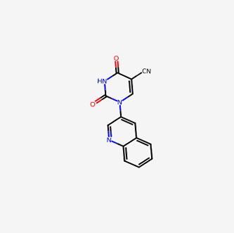 N#Cc1cn(-c2cnc3ccccc3c2)c(=O)[nH]c1=O